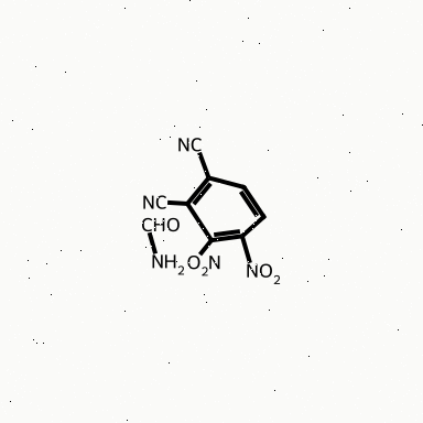 N#Cc1ccc([N+](=O)[O-])c([N+](=O)[O-])c1C#N.NC=O